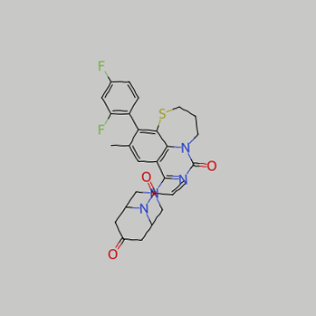 C=CC(=O)N1C2CC(=O)CC1CN(c1nc(=O)n3c4c(c(-c5ccc(F)cc5F)c(C)cc14)SCCC3)C2